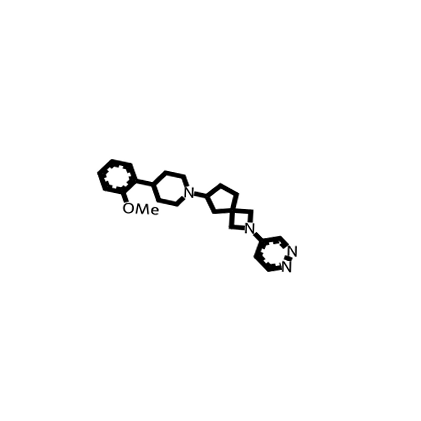 COc1ccccc1C1CCN(C2CCC3(C2)CN(c2ccnnc2)C3)CC1